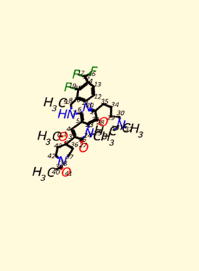 COC1(c2cc3c(N[C@H](C)c4cccc(C(F)F)c4F)nc4c(c3n(C)c2=O)O[C@H](CN(C)C)CC4)CCN(C(C)=O)CC1